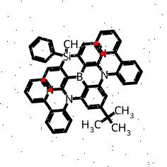 CC(C)(C)c1cc2c3c(c1)N(c1ccccc1-c1ccccn1)c1cccc4c1B3c1c(cccc1[Si]4(C)c1ccccc1)N2c1ccccc1-c1ccccn1